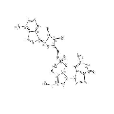 Nc1nc2c(ncn2[C@@H]2O[C@H](CO)[C@H](F)[C@@H]2OP(=O)(O)OC[C@H]2O[C@@H](n3cnc4c(N)ncnc43)C(F)[C@H]2O)c(=O)[nH]1